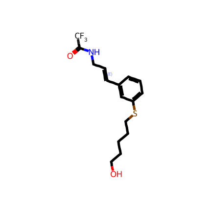 O=C(NC/C=C/c1cccc(SCCCCCO)c1)C(F)(F)F